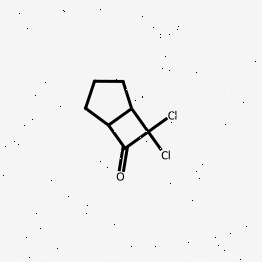 O=C1C2CCCC2C1(Cl)Cl